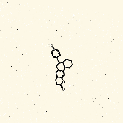 O=C1CCc2cc3c(cc2O1)C1CCCCC1C(c1ccc(O)cc1)C3